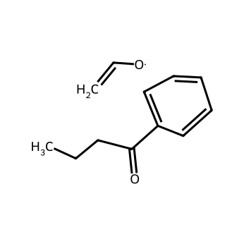 C=C[O].CCCC(=O)c1ccccc1